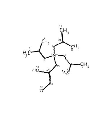 CC(C)C[N+](CC(C)C)(CC(C)C)CC(O)CCl